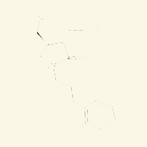 NC[C@@H]1CN(CCCc2ccccc2)C(=O)[C@H]1CC(=O)O